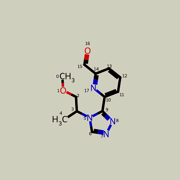 COCC(C)n1cnnc1-c1cccc(C=O)n1